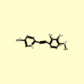 CCCCc1ccc(C#Cc2ccc(OCC)c(F)c2F)nc1